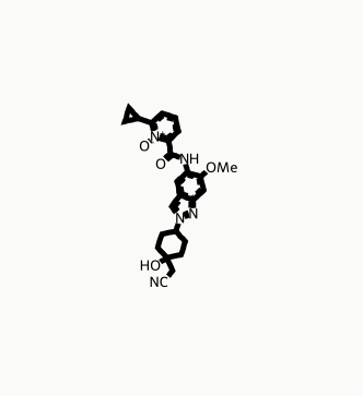 COc1cc2nn(C3CCC(O)(CC#N)CC3)cc2cc1NC(=O)c1cccc(C2CC2)[n+]1[O-]